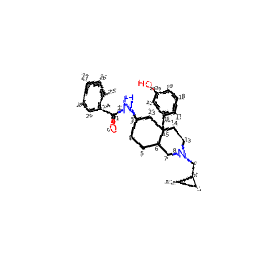 O=C(NC1CCC2CN(CC3CC3)CCC2(c2cccc(O)c2)C1)c1ccccc1